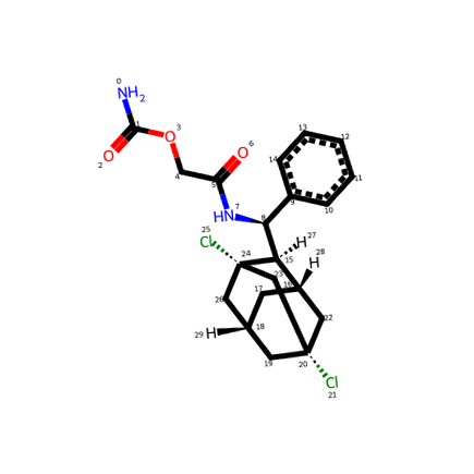 NC(=O)OCC(=O)N[C@@H](c1ccccc1)[C@H]1[C@H]2C[C@@H]3C[C@](Cl)(C2)C[C@@]1(Cl)C3